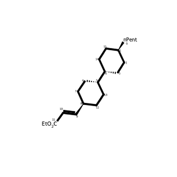 CCCCC[C@H]1CC[C@H]([C@H]2CC[C@H](C=CC(=O)OCC)CC2)CC1